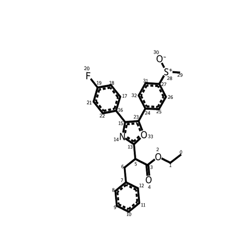 CCOC(=O)C(Cc1ccccc1)c1nc(-c2ccc(F)cc2)c(-c2ccc([S+](C)[O-])cc2)o1